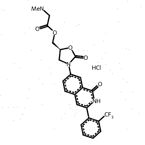 CNCC(=O)OC[C@@H]1CN(c2ccc3cc(-c4ccccc4C(F)(F)F)[nH]c(=O)c3c2)C(=O)O1.Cl